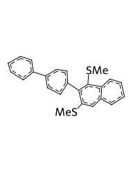 CSc1cc2ccccc2c(SC)c1-c1ccc(-c2ccccc2)cc1